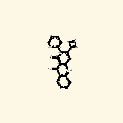 O=c1c2ccccc2[nH]c2cc(C3=CC=C3)n(-c3ccccn3)c(=O)c12